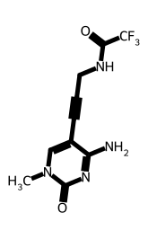 Cn1cc(C#CCNC(=O)C(F)(F)F)c(N)nc1=O